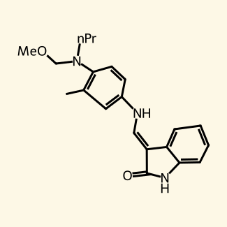 CCCN(COC)c1ccc(N/C=C2/C(=O)Nc3ccccc32)cc1C